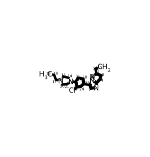 C=Cc1ccc2ncc(-c3ccc(N4CCN(CCC)CC4)c(Cl)c3)n2n1